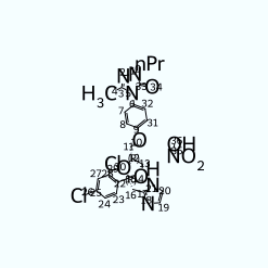 CCCn1nc(C)n(-c2ccc(OC[C@@H]3CO[C@@](Cc4ncc[nH]4)(c4ccc(Cl)cc4Cl)O3)cc2)c1=O.O=[N+]([O-])O